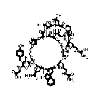 C[C@H](O)[C@@H]1NC(=O)[C@H]2Cc3cn(nn3)CCC[C@@H](C(=O)N[C@@H](Cc3ccc(O)cc3)C(=O)N(C)CC(=O)O)NC(=O)[C@H](CCC(N)=O)NC(=O)C(Cc3c[nH]c4ccccc34)NC(=O)[C@H](CCCNC(N)=O)NC(=O)[C@@H](CSSCC(NC(=O)CN)C(=O)N2)NC(=O)[C@@H](CCCNC(=N)N)NC(=O)[C@@H]2CCCN2C(=O)[C@@H](CC(=O)O)NC1=O